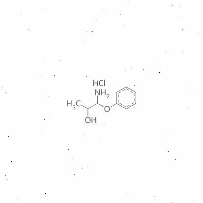 CC(O)C(N)Oc1ccccc1.Cl